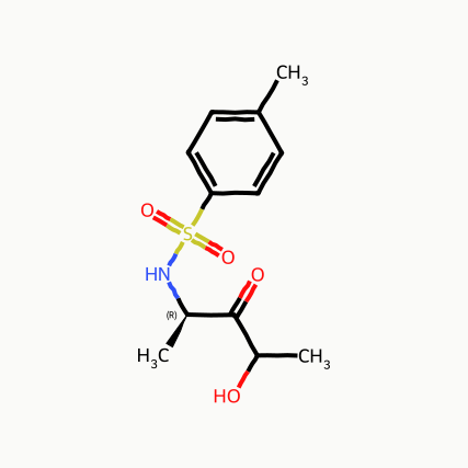 Cc1ccc(S(=O)(=O)N[C@H](C)C(=O)C(C)O)cc1